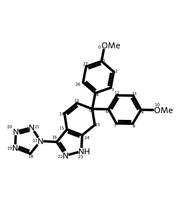 COc1ccc(C2(c3ccc(OC)cc3)C=Cc3c(-n4cnnn4)n[nH]c3C2)cc1